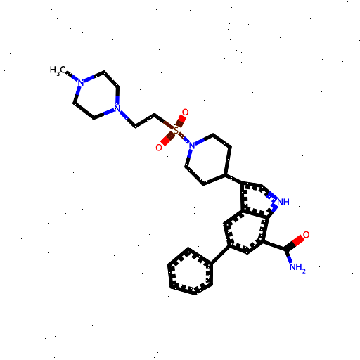 CN1CCN(CCS(=O)(=O)N2CCC(c3c[nH]c4c(C(N)=O)cc(-c5ccccc5)cc34)CC2)CC1